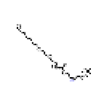 CC(C)(C)[Si](C)(C)OC/C=C\COC(=O)NCCOCCOCCCCCCCl